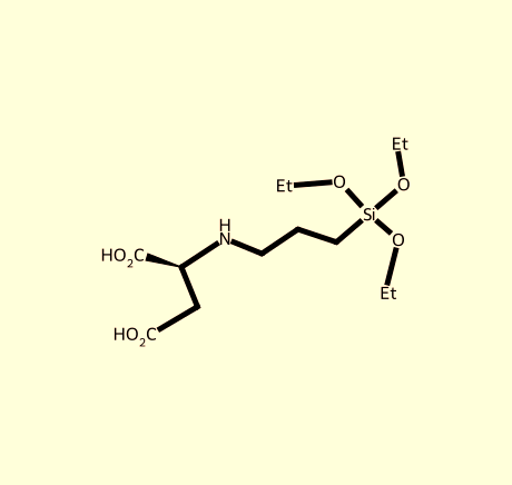 CCO[Si](CCCN[C@@H](CC(=O)O)C(=O)O)(OCC)OCC